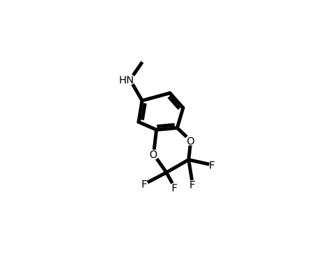 CNc1ccc2c(c1)OC(F)(F)C(F)(F)O2